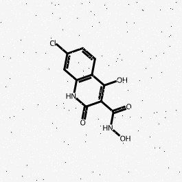 O=C(NO)c1c(O)c2ccc(Cl)cc2[nH]c1=O